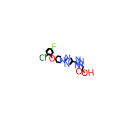 O=C(O)Cn1nnc(-c2cnc(N3CCC(Oc4cc(F)ccc4Cl)CC3)nc2)n1